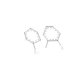 Brc1cc[c]cc1.[CH2]c1ccccc1F